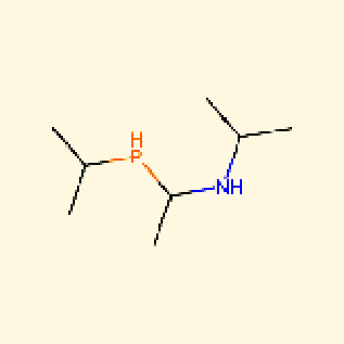 CC(C)NC(C)PC(C)C